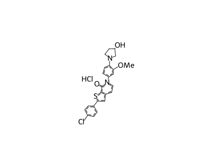 COc1cc(-n2ccc3cc(-c4ccc(Cl)cc4)sc3c2=O)ccc1N1CCC(O)C1.Cl